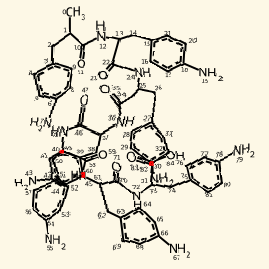 CC(Cc1ccc(N)cc1)C(=O)NC(Cc1ccc(N)cc1)C(=O)NC(Cc1ccc(N)cc1)C(=O)NC(Cc1ccc(N)cc1)C(=O)NC(Cc1ccc(N)cc1)C(=O)NC(Cc1ccc(N)cc1)C(=O)NC(Cc1ccc(N)cc1)C(=O)O